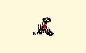 CC(C)(C)OC(=O)N1C2CCC1CN(c1nc(OCC34CCCN3CCC4)nc3cc(Br)cnc13)C2